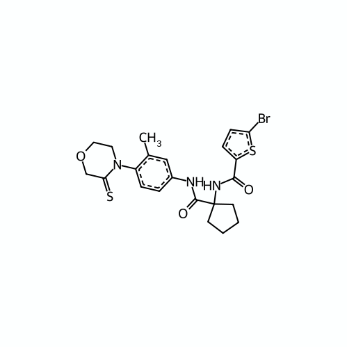 Cc1cc(NC(=O)C2(NC(=O)c3ccc(Br)s3)CCCC2)ccc1N1CCOCC1=S